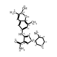 CC1=Cc2cc(Nc3nn([C@H]4COCCC4C#N)cc3C(N)=O)cc(C)c2OB1O